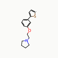 [c]1ccc(-c2cccc(OCCN3CCCC3)c2)s1